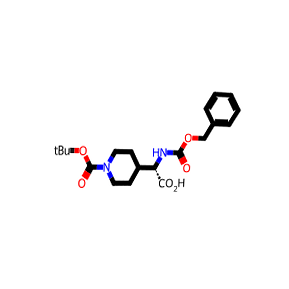 CC(C)(C)OC(=O)N1CCC([C@H](NC(=O)OCc2ccccc2)C(=O)O)CC1